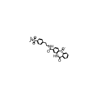 CN(C)S(=O)(=O)c1ccc(CCNC(=O)c2ccc3c(c2)NC(=O)c2ccccc2[S+]3[O-])cc1